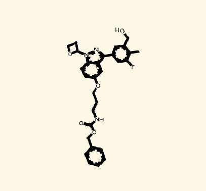 Cc1c(F)cc(-c2nn(C3CCO3)c3ccc(OCCCNC(=O)OCc4ccccc4)cc23)cc1CO